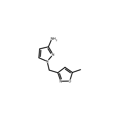 Cc1cc(Cn2ccc(N)n2)no1